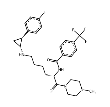 CN1CCN(C(=O)[C@H](CCCCN[C@@H]2C[C@H]2c2ccc(F)cc2)NC(=O)c2ccc(C(F)(F)F)cc2)CC1